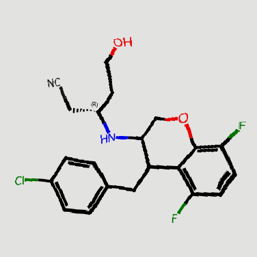 N#CC[C@H](CCO)NC1COc2c(F)ccc(F)c2C1Cc1ccc(Cl)cc1